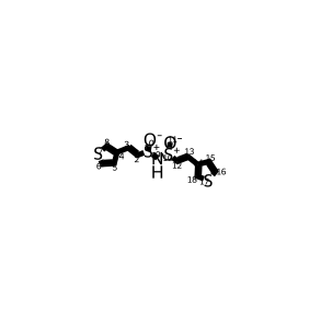 [O-][S+](/C=C/c1ccsc1)N[S+]([O-])/C=C/c1ccsc1